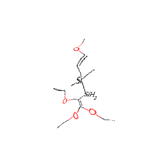 CCOC(OCC)=C(OCC)[SiH2][Si](C)(C)C=COC